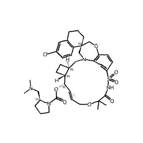 CN(C)C[C@@H]1CCCN1C(=O)O[C@H]1/C=C/COC(C)(C)C(=O)NS(=O)(=O)c2ccc3c(c2)N(C[C@@H]2CC[C@H]21)C[C@@]1(CCCc2cc(Cl)ccc21)CO3